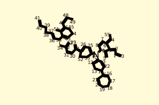 C=C/C=C(C=C)/C(/C=C\CN(C1=CCC(C2=CCCCC=C2)C=C1)C1=CC=C(C(=C)/C=C\C(=C)C[C@H](/C=C/CCC=C)C2=CCCC(/C=C\C)=C2C)CC1)=C/C